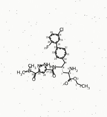 CCOC(=O)[C@H](N)C[C@@H](Cc1ccc(-c2cc(Cl)ccc2F)cc1)NC(=O)c1cc(C(=O)N(C)C)n[nH]1